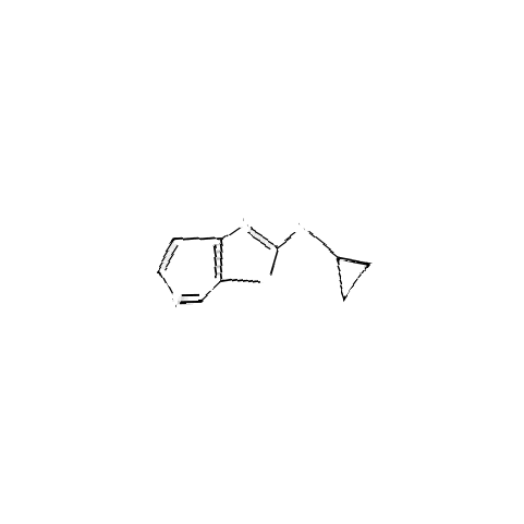 c1cc2nc(NC3CC3)oc2cn1